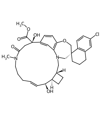 COC(=O)[C@@]1(O)CC(=O)N(C)CCC/C=C/[C@H](O)[C@@H]2CC[C@H]2CN2C[C@]3(CCCc4cc(Cl)ccc43)COc3ccc1cc32